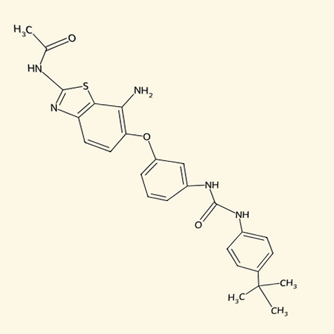 CC(=O)Nc1nc2ccc(Oc3cccc(NC(=O)Nc4ccc(C(C)(C)C)cc4)c3)c(N)c2s1